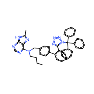 CCCCN(Cc1ccc(-c2ccccc2-c2nnnn2C(c2ccccc2)(c2ccccc2)c2ccccc2)cc1)c1ncnc2[nH]c(C)nc12